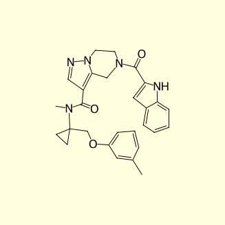 Cc1cccc(OCC2(N(C)C(=O)c3cnn4c3CN(C(=O)c3cc5ccccc5[nH]3)CC4)CC2)c1